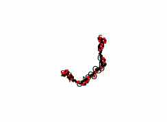 O=C(CCC(=O)OCOc1ccc2ccc(OCCCCN3CCN(c4cccc5sccc45)CC3)cc2n1)OCOc1ccc2ccc(OCCCCN3CCN(c4cccc5sccc45)CC3)cc2n1